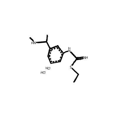 CCSC(=N)Nc1cccc(C(C)NC)c1.Cl.Cl